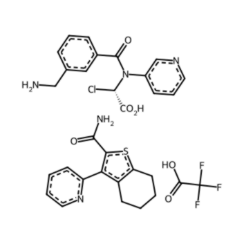 NC(=O)c1sc2c(c1-c1ccccn1)CCCC2.NCc1cccc(C(=O)N(c2cccnc2)[C@@H](Cl)C(=O)O)c1.O=C(O)C(F)(F)F